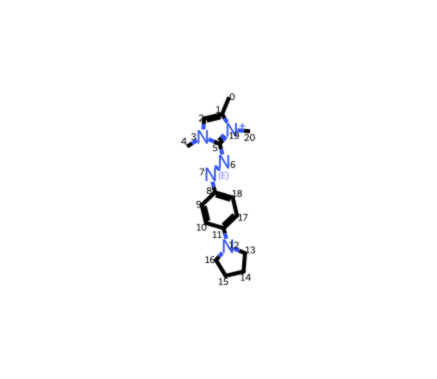 Cc1cn(C)c(/N=N/c2ccc(N3CCCC3)cc2)[n+]1C